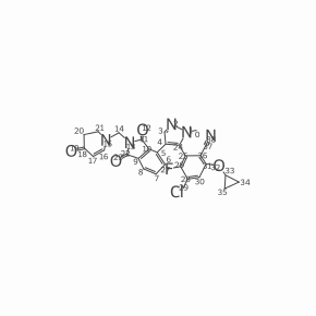 Cn1ncc(-c2cccc3c2C(=O)N(CN2C=CC(=O)CC2)C3=O)c1-c1c(F)c(Cl)cc(OC2CC2)c1C#N